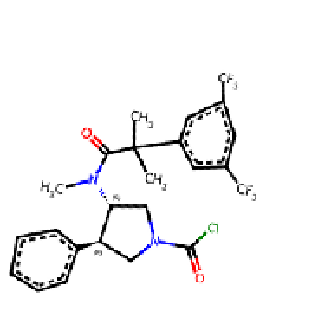 CN(C(=O)C(C)(C)c1cc(C(F)(F)F)cc(C(F)(F)F)c1)[C@@H]1CN(C(=O)Cl)C[C@H]1c1ccccc1